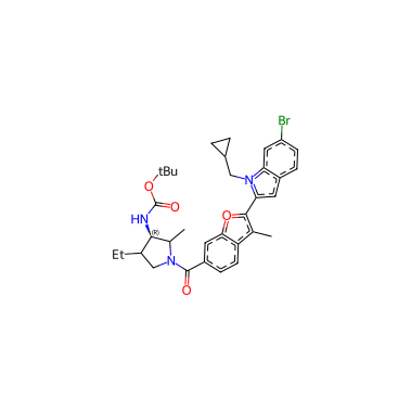 CCC1CN(C(=O)c2ccc3c(C)c(-c4cc5ccc(Br)cc5n4CC4CC4)oc3c2)C(C)[C@@H]1NC(=O)OC(C)(C)C